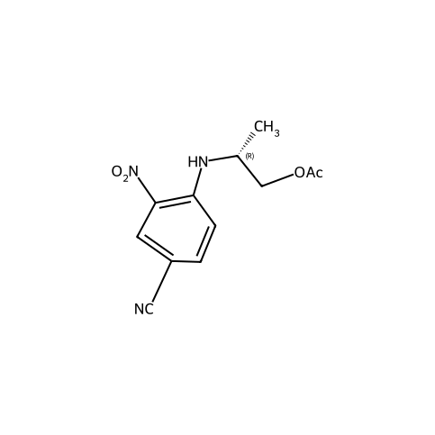 CC(=O)OC[C@@H](C)Nc1ccc(C#N)cc1[N+](=O)[O-]